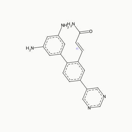 NC(=O)/C=C/c1cc(-c2cncnc2)ccc1-c1cc(N)cc(N)c1